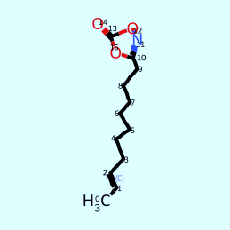 C/C=C/CCCCCCCc1noc(=O)o1